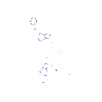 CC[Si](CC)(CC)O[C@H]1[C@@H](F)[C@H](n2cnc3c(NC(=O)c4ccccc4)ncnc32)O[C@@H]1COP(=S)(OCCC#N)O[C@@H]1[C@H](F)[C@@H](CO[Si](C)(C)C(C)(C)C)O[C@H]1n1cnc2c(=O)[nH]c(NC(=O)C(C)C)nc21